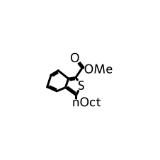 CCCCCCCCc1sc(C(=O)OC)c2ccccc12